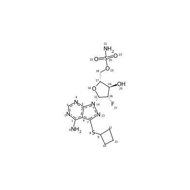 Nc1ncnc2c1c(SC1CCC1)nn2[C@@H]1O[C@H](COS(N)(=O)=O)[C@@H](O)[C@@H]1F